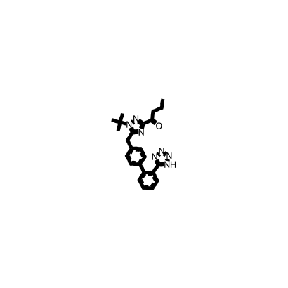 CCCC(=O)c1nc(Cc2ccc(-c3ccccc3-c3nnn[nH]3)cc2)n(C(C)(C)C)n1